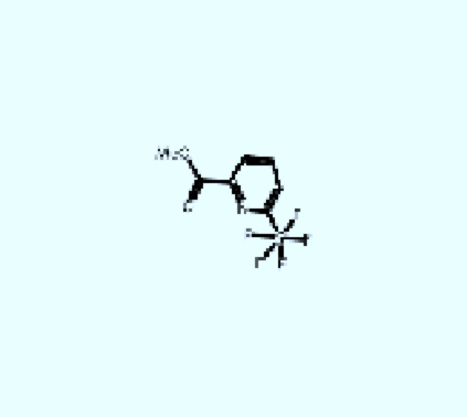 COC(=O)c1cccc(S(F)(F)(F)(F)F)n1